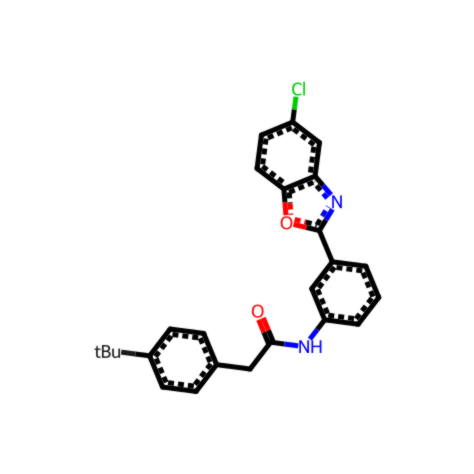 CC(C)(C)c1ccc(CC(=O)Nc2cccc(-c3nc4cc(Cl)ccc4o3)c2)cc1